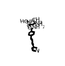 C[C@@H](N)[C@H](NC(=O)C1=CC=C(C#CC#Cc2cccnc2)CC1)C(=O)NO